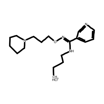 CCCCNC(=NOCCCN1CCCCC1)c1cccnc1.Cl